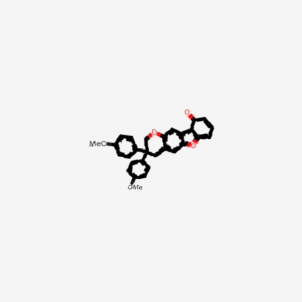 COc1ccc(C2(c3ccc(OC)cc3)C=c3cc4oc5c(c4cc3OC2)C(=O)C=CC=5)cc1